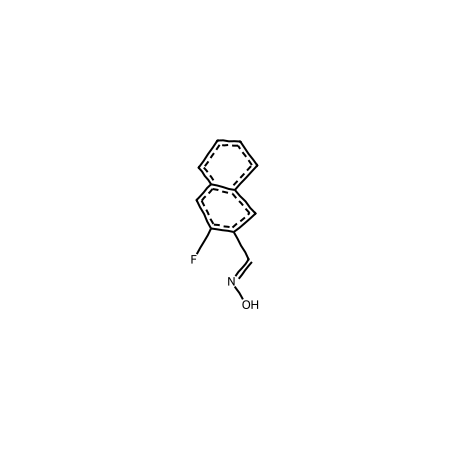 ON=Cc1cc2ccccc2cc1F